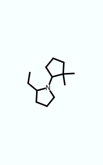 CCC1CCCN1C1CCCC1(C)C